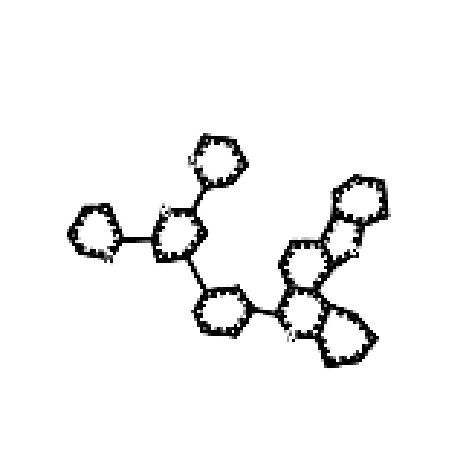 c1ccc(-c2cc(-c3cccc(-c4nc5ccccc5c5c4ccc4c6ccccc6sc45)c3)cc(-c3ccccn3)n2)nc1